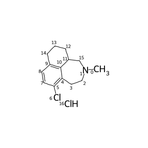 CN1CCc2c(Cl)ccc3c2C(CCC3)C1.Cl